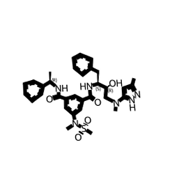 Cc1cc(N(C)C[C@@H](O)[C@H](Cc2ccccc2)NC(=O)c2cc(C(=O)N[C@H](C)c3ccccc3)cc(N(C)S(C)(=O)=O)c2)[nH]n1